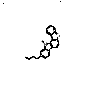 CCCCc1ccc2c3ccc4sc5ccccc5c4c3n(C)c2c1